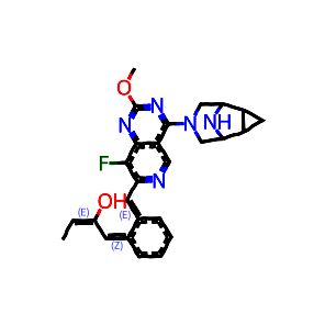 C\C=C(O)/C=c1/cccc/c1=C\c1ncc2c(N3CC4NC(C3)C3CC43)nc(OC)nc2c1F